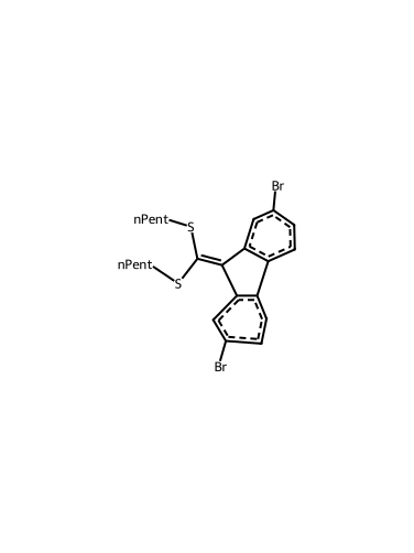 CCCCCSC(SCCCCC)=C1c2cc(Br)ccc2-c2ccc(Br)cc21